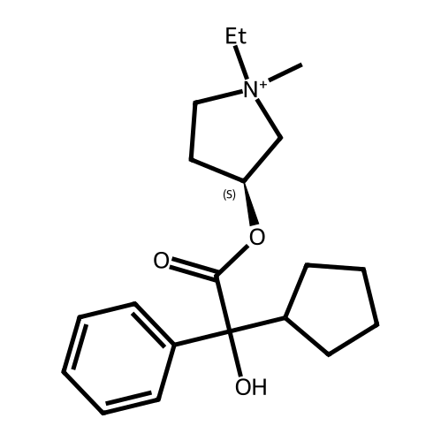 CC[N+]1(C)CC[C@H](OC(=O)C(O)(c2ccccc2)C2CCCC2)C1